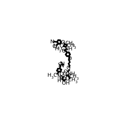 C[C@H](NC(=O)[C@@H]1C[C@@H](O)CN1C(=O)[C@@H](NC(=O)COCCCCOc1ccc(C(=O)N[C@H]2C(C)(C)[C@H](Oc3ccc(C#N)c(Cl)c3)C2(C)C)cc1)C(C)(C)C)c1ccc(-c2nncs2)cc1